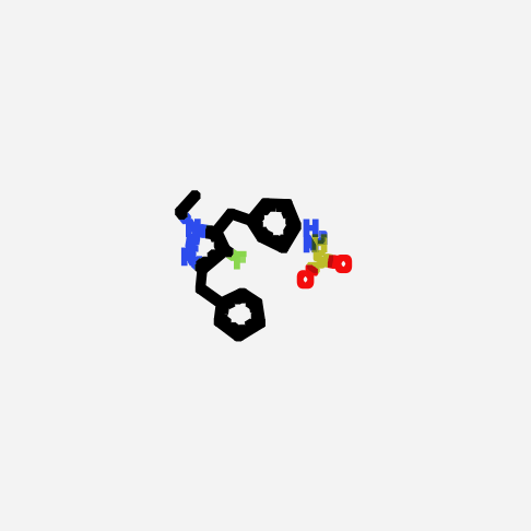 CCn1nc(Cc2ccccc2)c(F)c1Cc1ccccc1.N[SH](=O)=O